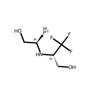 OC[C@@H](P)N[C@@H](CO)C(F)(F)F